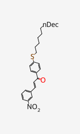 CCCCCCCCCCCCCCCCSc1ccc(C(=O)/C=C/c2cccc([N+](=O)[O-])c2)cc1